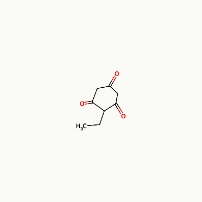 CCC1C(=O)CC(=O)CC1=O